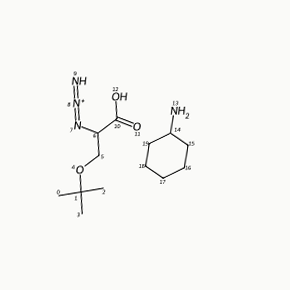 CC(C)(C)OCC(N=[N+]=N)C(=O)O.NC1CCCCC1